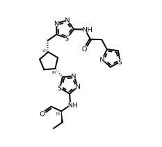 CC[C@@H](C=O)Nc1nnc([C@@H]2CC[C@H](Cc3nnc(NC(=O)Cc4cscn4)s3)C2)s1